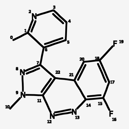 Cc1ncccc1-c1nn(C)c2nnc3c(F)cc(F)cc3c12